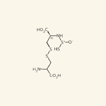 NC(CSSC[C@H](N[S+]([O-])S)C(=O)O)C(=O)O